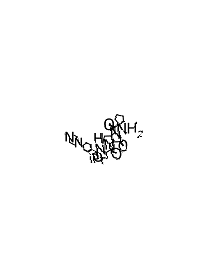 CC(C)CC(NC(=O)c1ccc(N2CCN(C)CC2)cc1)C(=O)N1CCC2C1C(=O)CN2C(=O)C1(N)CCCC1